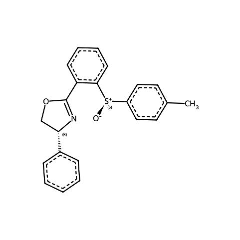 Cc1ccc([S@@+]([O-])c2ccccc2C2=N[C@H](c3ccccc3)CO2)cc1